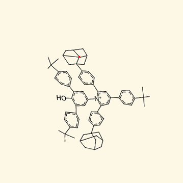 CC(C)(C)c1ccc(-c2cc(-c3ccc(C45CC6CC(CC(C6)C4)C5)cc3)[n+](-c3cc(-c4ccc(C(C)(C)C)cc4)c(O)c(-c4ccc(C(C)(C)C)cc4)c3)c(-c3ccc(C45CC6CC(CC(C6)C4)C5)cc3)c2)cc1